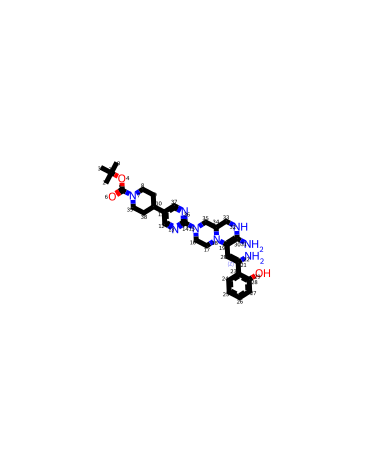 CC(C)(C)OC(=O)N1CCC(c2cnc(N3CCN4C(/C=C(\N)c5ccccc5O)=C(N)NCC4C3)nc2)CC1